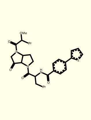 COC(C(=O)N1CC(=O)C2C1CCN2C(=O)C(CC(C)C)NC(=O)c1ccc(-c2cccs2)cc1)C(C)C